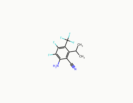 CC(C)c1c(C#N)c(N)c(F)c(F)c1C(F)(F)F